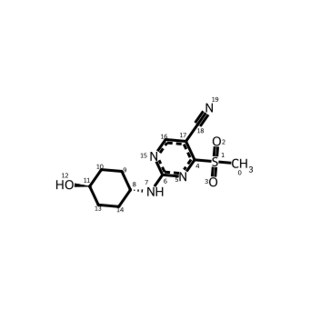 CS(=O)(=O)c1nc(N[C@H]2CC[C@H](O)CC2)ncc1C#N